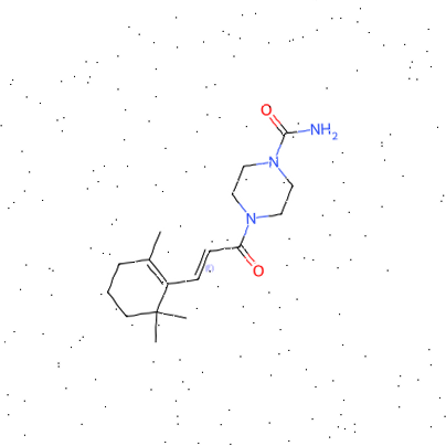 CC1=C(/C=C/C(=O)N2CCN(C(N)=O)CC2)C(C)(C)CCC1